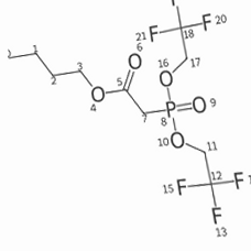 CCCCOC(=O)CP(=O)(OCC(F)(F)F)OCC(F)(F)F